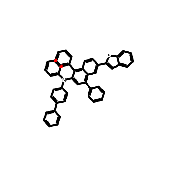 c1ccc(-c2ccc(N(c3ccccc3)c3cc(-c4ccccc4)c4cc(-c5cc6ccccc6s5)ccc4c3-c3ccccc3)cc2)cc1